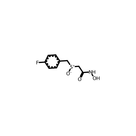 O=C(C[S+]([O-])Cc1ccc(F)cc1)NO